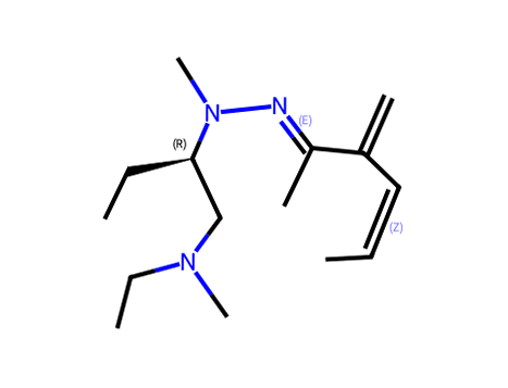 C=C(/C=C\C)/C(C)=N/N(C)[C@H](CC)CN(C)CC